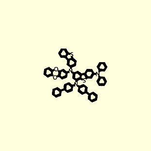 c1ccc(-c2ccc(N(c3ccc(-c4ccccc4)cc3)c3cc(N(c4ccc5c(c4)Oc4ccccc4O5)c4ccc5sc6ccccc6c5c4)cc4c3sc3cc(N(c5ccccc5)c5ccccc5)ccc34)cc2)cc1